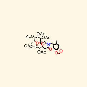 CCCN(Cc1cc2c(cc1C)OCO2)C(=O)[C@@H](OC(C)=O)[C@@H](CC=O)O[C@@H]1O[C@H](COC(C)=O)[C@H](OC(C)=O)[C@H](OC(C)=O)[C@H]1OC(C)=O